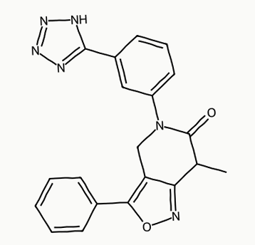 CC1C(=O)N(c2cccc(-c3nnn[nH]3)c2)Cc2c1noc2-c1ccccc1